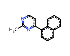 Cc1nccc(-c2cccc3ccccc23)n1